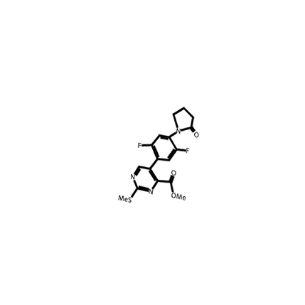 COC(=O)c1nc(SC)ncc1-c1cc(F)c(N2CCCC2=O)cc1F